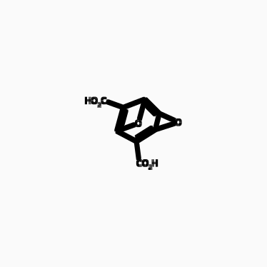 O=C(O)c1c2c(c3c(C(=O)O)c1O3)O2